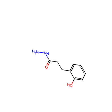 NNC(=O)CCc1ccccc1O